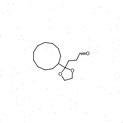 O=CCCC1(C2CCCCCCCCCC2)OCCO1